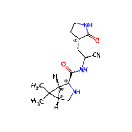 CC1(C)[C@@H]2[C@@H](C(=O)NC(C#N)C[C@@H]3CCNC3=O)NC[C@@H]21